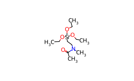 CCO[Si](CCN(C)C(C)=O)(OCC)OCC